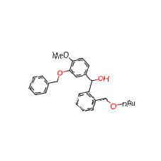 CCCCOCc1ccccc1C(O)c1ccc(OC)c(OCc2ccccc2)c1